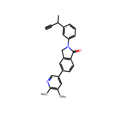 C#CC(C)c1cccc(N2Cc3cc(-c4cnc(OC)c(OC)c4)ccc3C2=O)c1